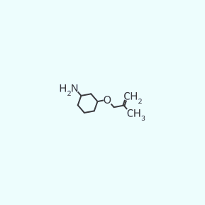 C=C(C)COC1CCCC(N)C1